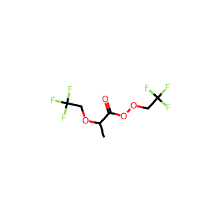 CC(OCC(F)(F)F)C(=O)OOCC(F)(F)F